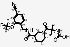 CC(C)(NC(=O)O)C(=O)N1CCCC(C(=O)NCc2ccc(C#N)cc2OC(F)(F)F)C1